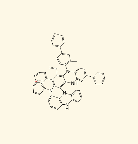 C=Cc1c(-c2ccccc2)c2c(c3[nH]c4cc(-c5ccccc5)ccc4n(-c4ccc(-c5ccccc5)cc4C)c13)n1c3c(cccc3n2-c2ccccc2)Nc2ccccc2-1